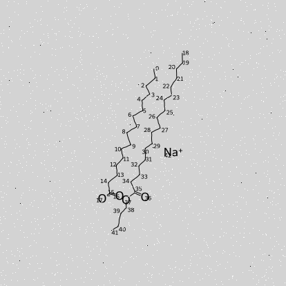 CCCCCCCCCCCCCCCC(=O)[O-].CCCCCCCCCCCCCCCCCC(=O)OCCCC.[Na+]